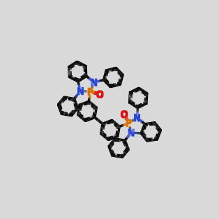 O=P1(c2cccc(-c3cccc(P4(=O)N(c5ccccc5)c5ccccc5N4c4ccccc4)c3)c2)N(c2ccccc2)c2ccccc2N1c1ccccc1